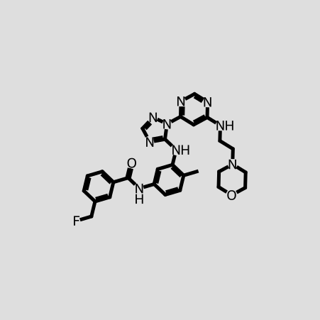 Cc1ccc(NC(=O)c2cccc(CF)c2)cc1Nc1ncnn1-c1cc(NCCN2CCOCC2)ncn1